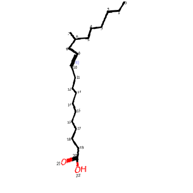 CCCCCCC(C)C/C=C/CCCCCCCCCC(=O)O